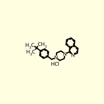 CC(C)(C)c1ccc(CN2CCN(c3nccc4ccccc34)CC2)cc1.Cl